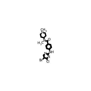 CN1CCC(N(C)C(=O)c2ccc(Nc3ncc(Br)c(Cl)n3)cc2)CC1